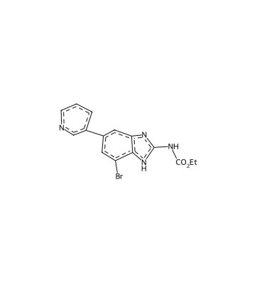 CCOC(=O)Nc1nc2cc(-c3cccnc3)cc(Br)c2[nH]1